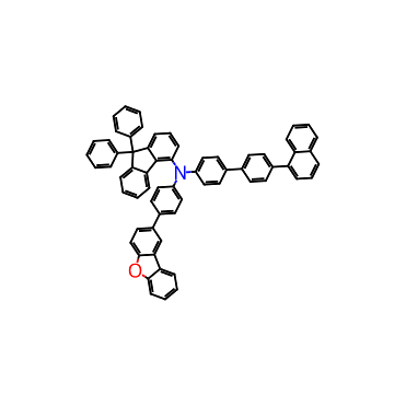 c1ccc(C2(c3ccccc3)c3ccccc3-c3c(N(c4ccc(-c5ccc(-c6cccc7ccccc67)cc5)cc4)c4ccc(-c5ccc6oc7ccccc7c6c5)cc4)cccc32)cc1